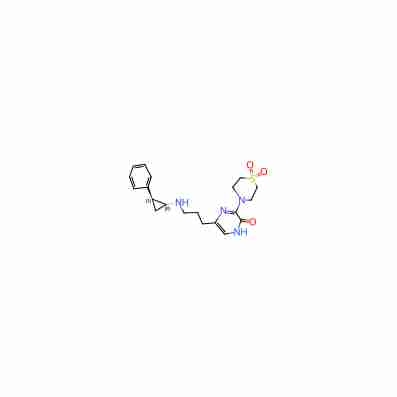 O=c1[nH]cc(CCCN[C@@H]2C[C@H]2c2ccccc2)nc1N1CCS(=O)(=O)CC1